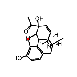 CC(=O)[C@]1(O)C=C[C@H]2[C@H]3Cc4ccc(O)c5c4[C@@]2(CCN3C)[C@H]1O5